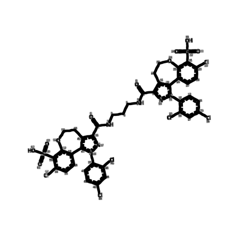 O=C(NCCCNC(=O)c1nn(-c2ccc(Cl)cc2Cl)c2c1CCOc1c-2ccc(Cl)c1S(=O)(=O)O)c1nn(-c2ccc(Cl)cc2Cl)c2c1CCOc1c-2ccc(Cl)c1S(=O)(=O)O